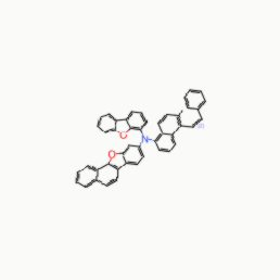 Cc1ccc2c(N(c3ccc4c(c3)oc3c5ccccc5ccc43)c3cccc4c3oc3ccccc34)cccc2c1/C=C\c1ccccc1